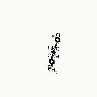 COCc1ccc(C(=O)NC23CC(NC(=O)COc4ccc(Cl)c(F)c4)(C2)C3)cc1